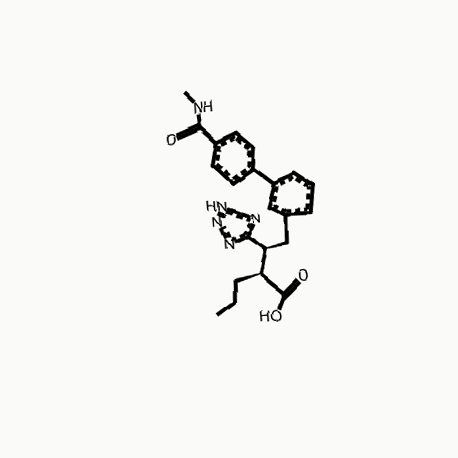 CCC[C@H](C(=O)O)[C@H](Cc1cccc(-c2ccc(C(=O)NC)cc2)c1)c1nn[nH]n1